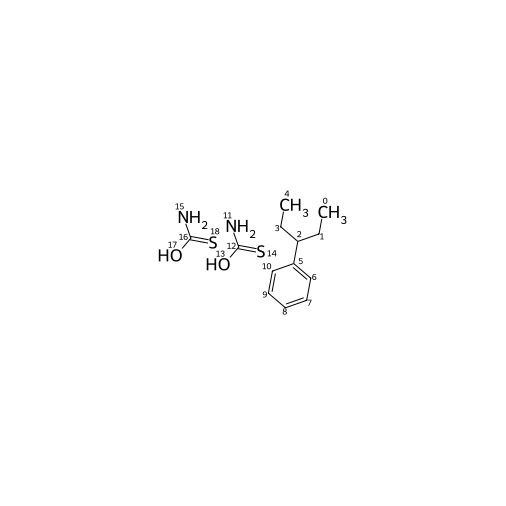 CCC(CC)c1ccccc1.NC(O)=S.NC(O)=S